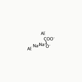 O=C([O-])[O-].[Al].[Al].[Na+].[Na+]